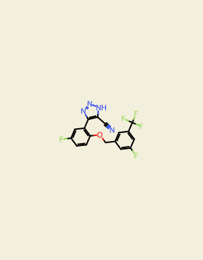 N#Cc1[nH]nnc1-c1cc(F)ccc1OCc1cc(F)cc(C(F)(F)F)c1